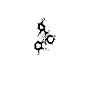 Cc1c(Cl)cccc1S(=O)(=O)[C@@]1(NC(=O)c2cc(C(F)(F)F)ccc2F)CCCNC1